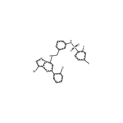 O=S(=O)(Nc1cccc(CNc2cc(-c3ccccc3Cl)nc3c(Br)cnn23)c1)c1ccc(F)cc1F